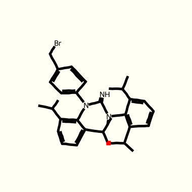 CC(C)c1cccc(C(C)C)c1N(C)C(=N)N(c1ccc(CBr)cc1)c1c(C(C)C)cccc1C(C)C